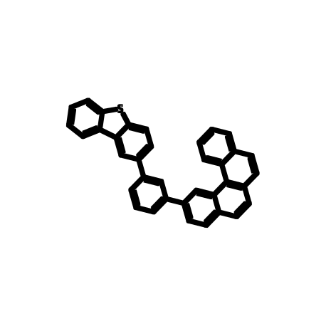 c1cc(-c2ccc3sc4ccccc4c3c2)cc(-c2ccc3ccc4ccc5ccccc5c4c3c2)c1